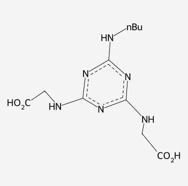 CCCCNc1nc(NCC(=O)O)nc(NCC(=O)O)n1